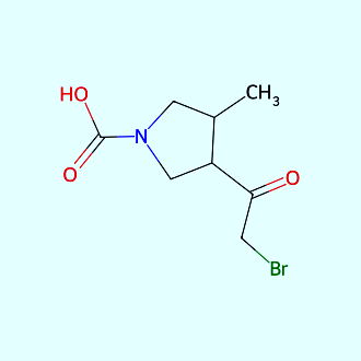 CC1CN(C(=O)O)CC1C(=O)CBr